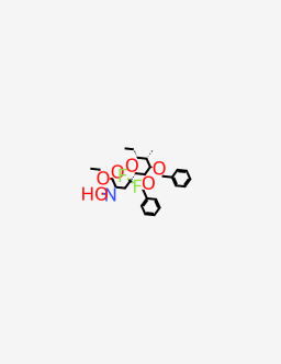 CCOC(=O)/C(CC(F)(F)[C@@H]1O[C@H](CC)[C@H](C)[C@H](OCc2ccccc2)[C@H]1OCc1ccccc1)=N\O